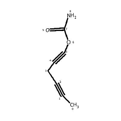 CC#CCC#COC(N)=O